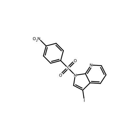 O=[N+]([O-])c1ccc(S(=O)(=O)n2cc(I)c3cccnc32)cc1